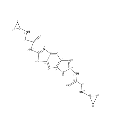 O=C(CNC1CC1)Nc1nc2cc3nc(NC(=O)CNC4CC4)sc3cc2s1